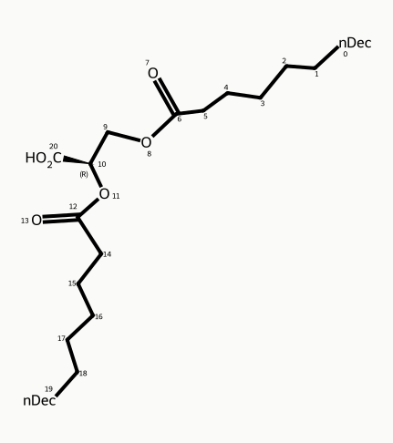 CCCCCCCCCCCCCCCC(=O)OC[C@@H](OC(=O)CCCCCCCCCCCCCCC)C(=O)O